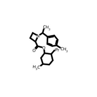 Cc1ccc(C(C)N2CCC2C(=O)OC2CC(C)CCC2C(C)C)cc1